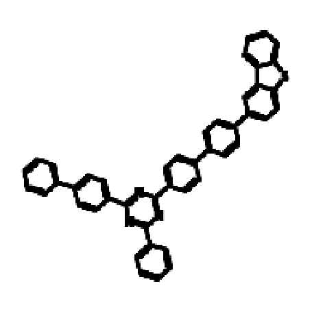 c1ccc(-c2ccc(-c3nc(-c4ccccc4)nc(-c4ccc(-c5ccc(-c6ccc7sc8ccccc8c7c6)cc5)cc4)n3)cc2)cc1